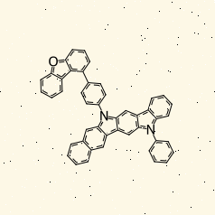 c1ccc(-n2c3ccccc3c3cc4c(cc32)c2cc3ccccc3cc2n4-c2ccc(-c3cccc4oc5ccccc5c34)cc2)cc1